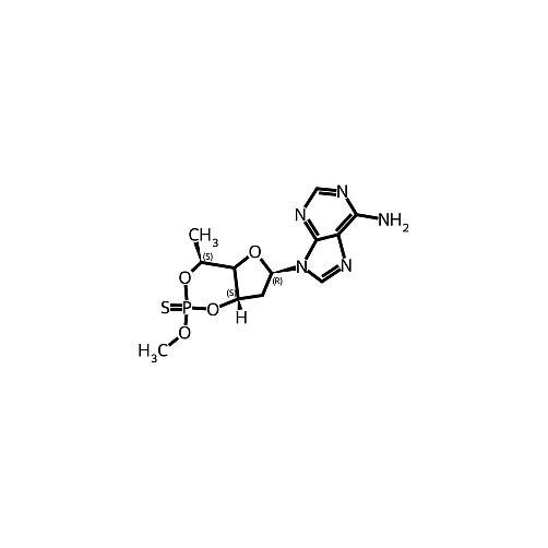 COP1(=S)O[C@@H](C)C2O[C@@H](n3cnc4c(N)ncnc43)C[C@@H]2O1